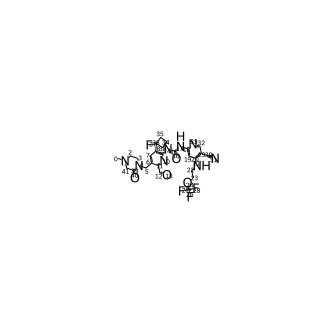 CN1CCN(Cc2cc3c(nc2C=O)N(C(=O)Nc2cc(NCCOC(F)(F)F)c(C#N)cn2)C2CC3(F)C2)C(=O)C1